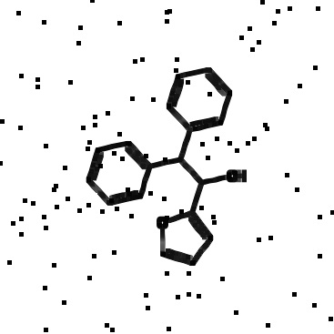 OC(c1ccco1)C(c1ccccc1)c1ccccc1